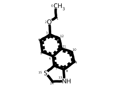 CCOc1ccc2c3c(ccc2c1)NCS3